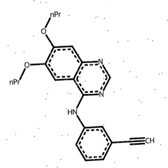 C#Cc1cccc(Nc2ncnc3cc(OCCC)c(OCCC)cc23)c1